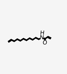 C=CCCCCCCCCCNC(=O)C=C